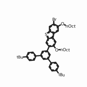 CCCCCCCCOc1cc2c(cc1Br)sc1cc(-c3cc(-c4ccc(C(C)(C)C)cc4)cc(-c4ccc(C(C)(C)C)cc4)c3)c(OCCCCCCCC)cc12